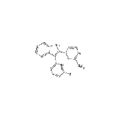 Nc1cc(-c2[nH]c3cccnc3c2-c2cccc(F)n2)ccn1